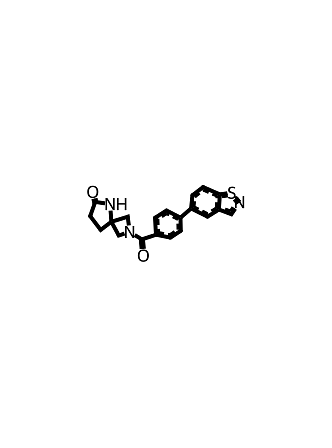 O=C1CCC2(CN(C(=O)c3ccc(-c4ccc5sncc5c4)cc3)C2)N1